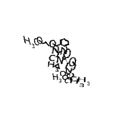 COCCCOc1nc([C@@H](C)N(C(=O)[C@H]2CN(C(=O)OC(C)(C)C)CCO2)C2CC2)nc2ccccc12